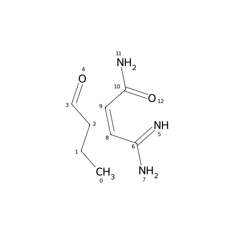 CCCC=O.N=C(N)/C=C\C(N)=O